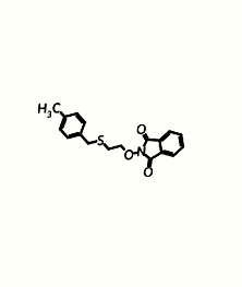 Cc1ccc(CSCCON2C(=O)c3ccccc3C2=O)cc1